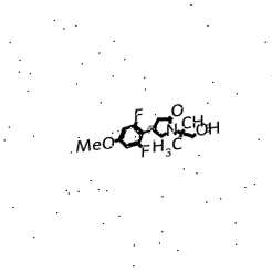 COc1cc(F)c([C@H]2CC(=O)N(C(C)(C)CO)C2)c(F)c1